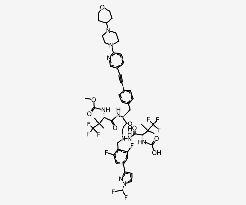 COC(=O)N[C@H](C(=O)N[C@@H](Cc1ccc(C#Cc2ccc(N3CCN(C4CCOCC4)CC3)nc2)cc1)[C@@H](O)CN(Cc1c(F)cc(-c2ccn(C(F)F)n2)cc1F)NC(=O)[C@@H](NC(=O)O)C(C)(C)C(F)(F)F)C(C)(C)C(F)(F)F